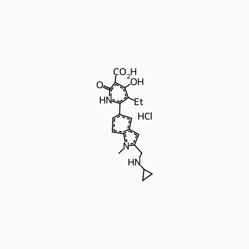 CCc1c(-c2ccc3c(c2)cc(CNC2CC2)n3C)[nH]c(=O)c(C(=O)O)c1O.Cl